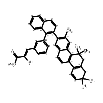 COC(=O)C(O)=Cc1cccc(-c2c(-c3cc4ccc5c(c4cc3C)C(C)(C)CC3=C5C=CC(C)(C)C3)ccc3ccccc23)c1